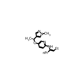 CC/C=C(/CCC)Nc1ccc(O[C@@H](C)c2cnn(C)c2)cn1